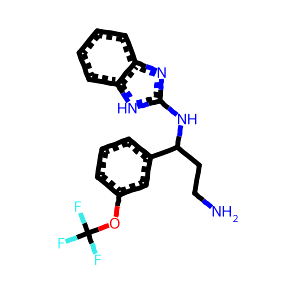 NCCC(Nc1nc2ccccc2[nH]1)c1cccc(OC(F)(F)F)c1